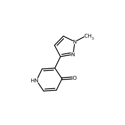 Cn1ccc(-c2c[nH]ccc2=O)n1